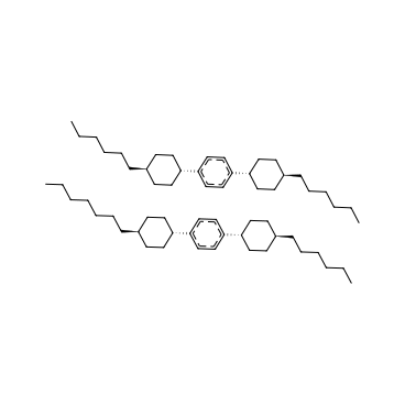 CCCCCCC[C@H]1CC[C@H](c2ccc([C@H]3CC[C@H](CCCCCC)CC3)cc2)CC1.CCCCCC[C@H]1CC[C@H](c2ccc([C@H]3CC[C@H](CCCCCC)CC3)cc2)CC1